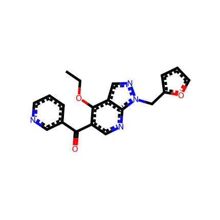 CCOc1c(C(=O)c2cccnc2)cnc2c1cnn2Cc1ccco1